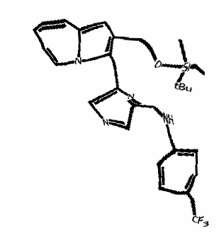 CC(C)(C)[Si](C)(C)OCc1cc2ccccn2c1-c1cncc(Nc2ccc(C(F)(F)F)cc2)n1